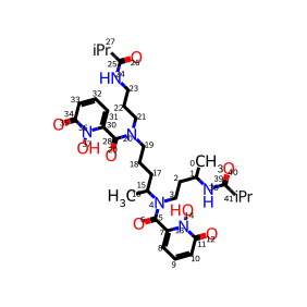 CC(CCN(C(=O)c1cccc(=O)n1O)C(C)CCCN(CCCNC(=O)C(C)C)C(=O)c1cccc(=O)n1O)NC(=O)C(C)C